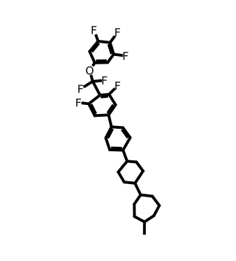 CC1CCCC(C2CCC(c3ccc(-c4cc(F)c(C(F)(F)Oc5cc(F)c(F)c(F)c5)c(F)c4)cc3)CC2)CC1